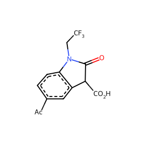 CC(=O)c1ccc2c(c1)C(C(=O)O)C(=O)N2CC(F)(F)F